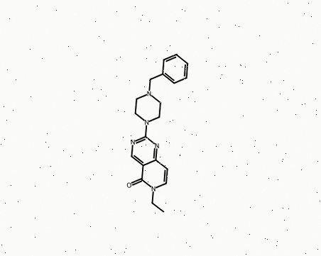 CCn1ccc2nc(N3CCN(Cc4ccccc4)CC3)ncc2c1=O